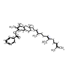 CC(C)=CCC/C(C)=C/CC/C(C)=C/CC[C@]1(C)CCc2cc(OC(=O)c3cccnc3)c(C)c(C)c2O1